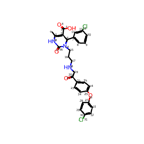 CC1=C(C(=O)O)C(c2cccc(Cl)c2)N(CCCNCC(=O)c2ccc(Oc3ccc(Cl)cc3)cc2)C(=O)N1